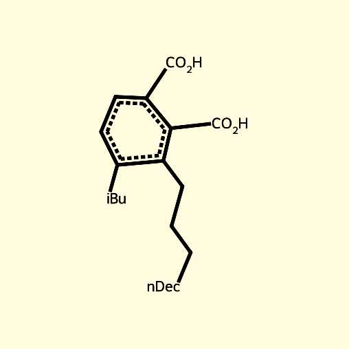 CCCCCCCCCCCCCc1c(C(C)CC)ccc(C(=O)O)c1C(=O)O